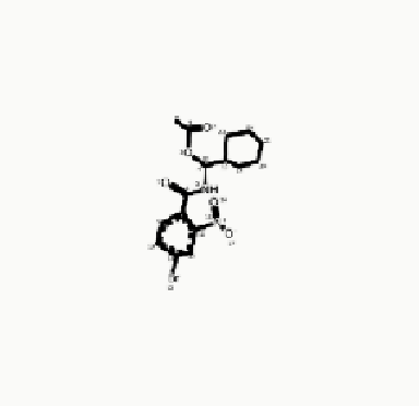 CC(=O)O[C@H](NC(=O)c1ccc(Br)cc1[N+](=O)[O-])C1CCCCC1